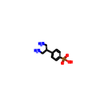 NCC(CN)c1ccc(S(=O)(=O)O)cc1